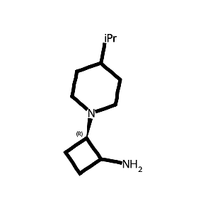 CC(C)C1CCN([C@@H]2CCC2N)CC1